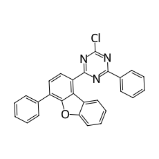 Clc1nc(-c2ccccc2)nc(-c2ccc(-c3ccccc3)c3oc4ccccc4c23)n1